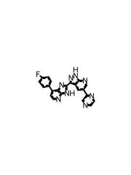 Fc1ccc(-c2ccnc3[nH]c(-c4n[nH]c5ncc(-c6cnccn6)cc45)nc23)cc1